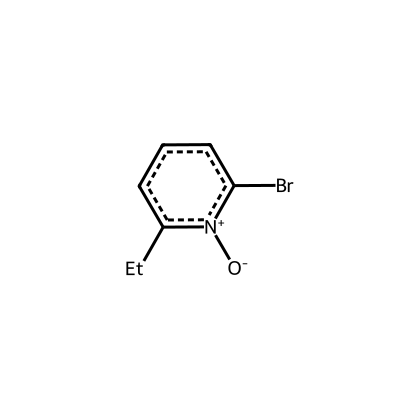 CCc1cccc(Br)[n+]1[O-]